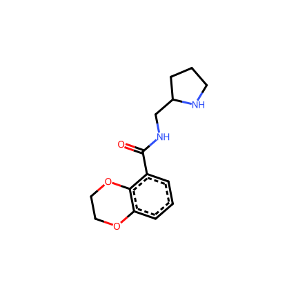 O=C(NCC1CCCN1)c1cccc2c1OCCO2